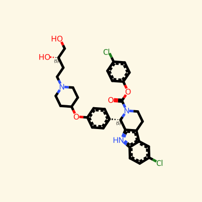 O=C(Oc1ccc(Cl)cc1)N1CCc2c([nH]c3ccc(Cl)cc23)[C@@H]1c1ccc(OC2CCN(CC[C@H](O)CO)CC2)cc1